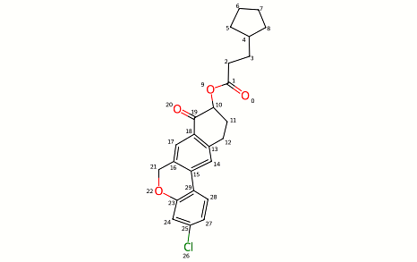 O=C(CCC1CCCC1)OC1CCc2cc3c(cc2C1=O)COc1cc(Cl)ccc1-3